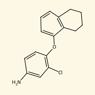 Nc1ccc(Oc2cccc3c2CCCC3)c(Cl)c1